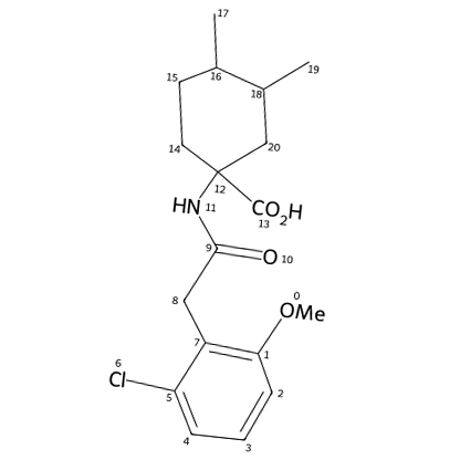 COc1cccc(Cl)c1CC(=O)NC1(C(=O)O)CCC(C)C(C)C1